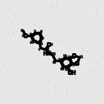 COc1cccc(CC(=O)NCCc2cc(O)c3c(c2)OCO3)c1